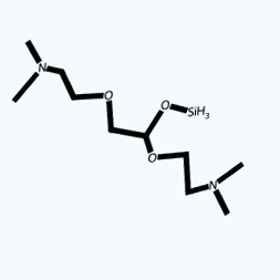 CN(C)CCOCC(O[SiH3])OCCN(C)C